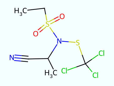 CCS(=O)(=O)N(SC(Cl)(Cl)Cl)C(C)C#N